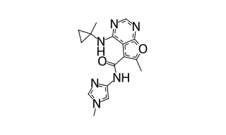 Cc1oc2ncnc(NC3(C)CC3)c2c1C(=O)Nc1cn(C)cn1